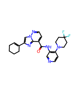 O=C(Nc1cnccc1N1CCC(F)(F)CC1)c1ccnn2cc(C3=CCCCC3)nc12